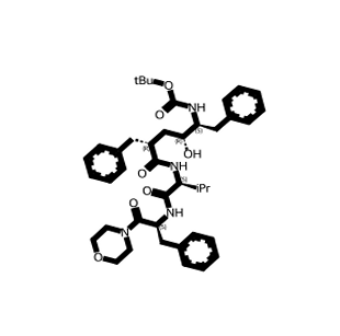 CC(C)[C@H](NC(=O)[C@H](Cc1ccccc1)C[C@@H](O)[C@H](Cc1ccccc1)NC(=O)OC(C)(C)C)C(=O)N[C@@H](Cc1ccccc1)C(=O)N1CCOCC1